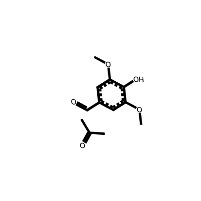 CC(C)=O.COc1cc(C=O)cc(OC)c1O